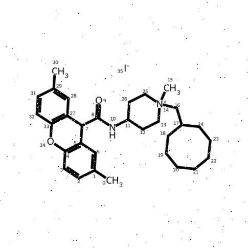 Cc1ccc2c(c1)C(C(=O)NC1CC[N+](C)(CC3CCCCCCC3)CC1)c1cc(C)ccc1O2.[I-]